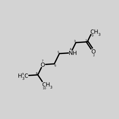 CC(=O)CNCCOC(C)C